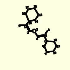 CC(=COC=C(C)C1CCCCC1)C1CCCCC1